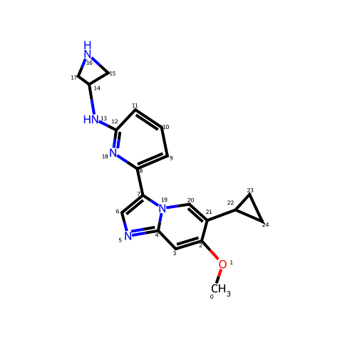 COc1cc2ncc(-c3cccc(NC4CNC4)n3)n2cc1C1CC1